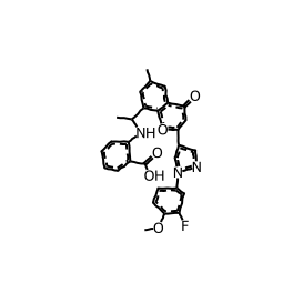 COc1ccc(-n2cc(-c3cc(=O)c4cc(C)cc(C(C)Nc5ccccc5C(=O)O)c4o3)cn2)cc1F